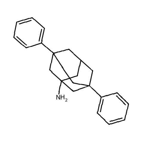 NC12CC3CC(c4ccccc4)(C1)CC(c1ccccc1)(C3)C2